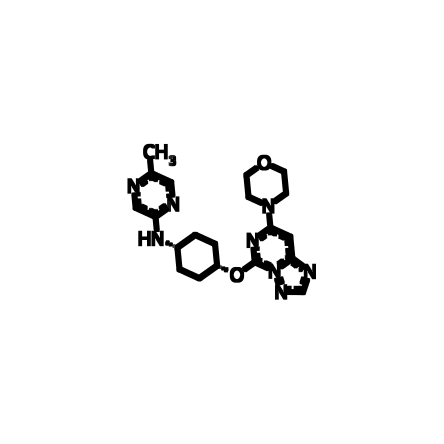 Cc1cnc(N[C@H]2CC[C@@H](Oc3nc(N4CCOCC4)cc4ncnn34)CC2)cn1